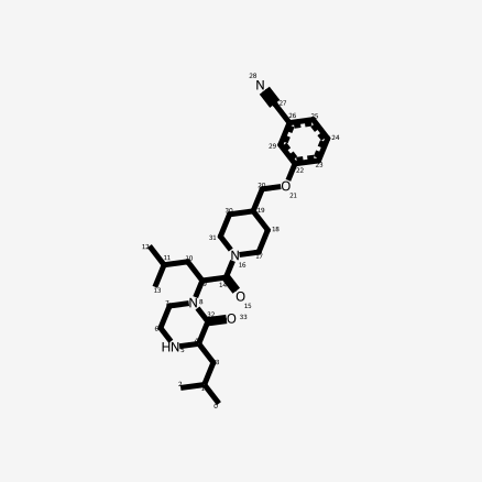 CC(C)CC1NCCN(C(CC(C)C)C(=O)N2CCC(COc3cccc(C#N)c3)CC2)C1=O